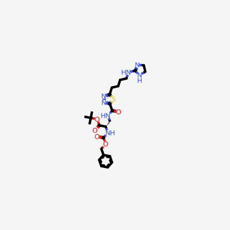 CC(C)(C)OC(=O)[C@H](CNC(=O)c1nnc(CCCCNC2=NCCN2)s1)NC(=O)OCc1ccccc1